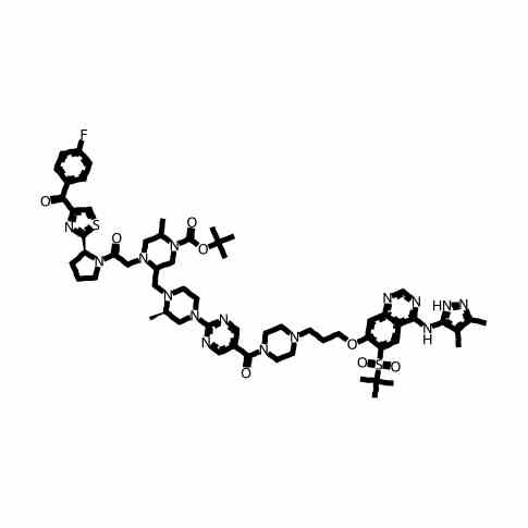 Cc1n[nH]c(Nc2ncnc3cc(OCCCN4CCN(C(=O)c5cnc(N6CCN(CC7CN(C(=O)OC(C)(C)C)C(C)CN7CC(=O)N7CCC[C@H]7c7nc(C(=O)c8ccc(F)cc8)cs7)[C@H](C)C6)nc5)CC4)c(S(=O)(=O)C(C)(C)C)cc23)c1C